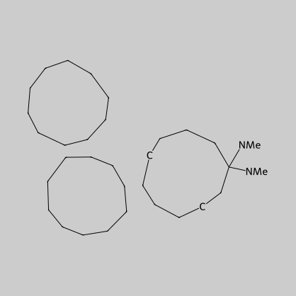 C1CCCCCCCCC1.C1CCCCCCCCC1.CNC1(NC)CCCCCCCCC1